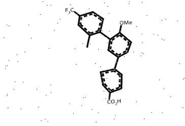 COc1ccc(-c2ccc(C(=O)O)cc2)cc1-c1ccc(C(F)(F)F)cc1C